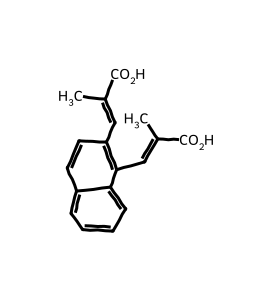 C/C(=C\c1ccc2ccccc2c1/C=C(\C)C(=O)O)C(=O)O